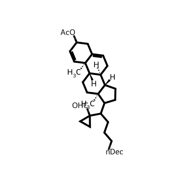 CCCCCCCCCCCCCC(C1CC[C@H]2[C@@H]3CC=C4CC(OC(C)=O)C=C[C@]4(C)[C@H]3CC[C@]12C)C1(C=O)CC1